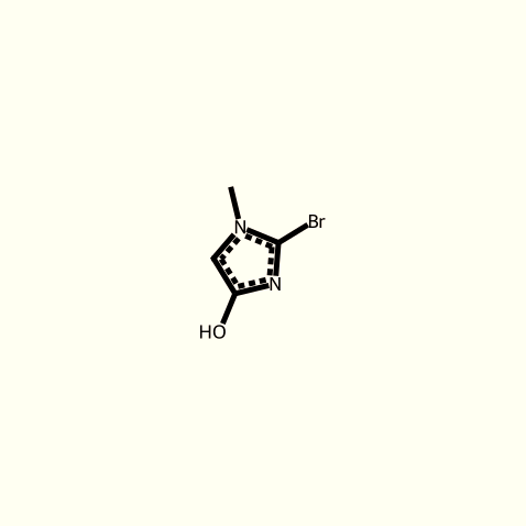 Cn1cc(O)nc1Br